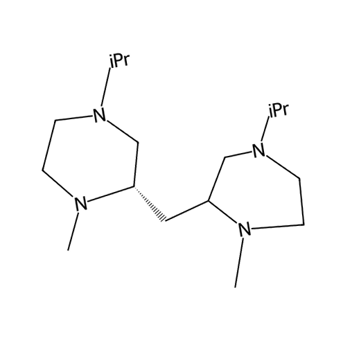 CC(C)N1CCN(C)C(C[C@H]2CN(C(C)C)CCN2C)C1